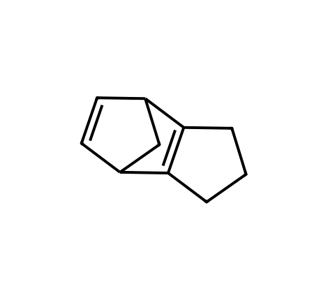 C1=CC2CC1C1=C2CCC1